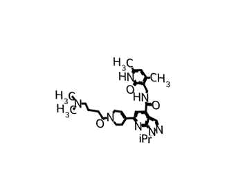 Cc1cc(C)c(CNC(=O)c2cc(C3=CCN(C(=O)CCCN(C)C)CC3)nc3c2cnn3C(C)C)c(=O)[nH]1